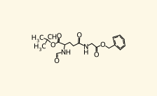 CC(C)(C)OC(=O)C(CCC(=O)NCC(=O)OCc1ccccc1)NC=O